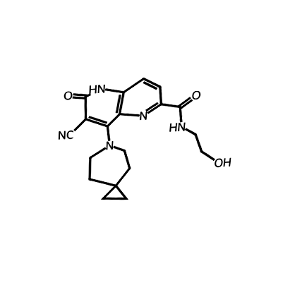 N#Cc1c(N2CCC3(CC2)CC3)c2nc(C(=O)NCCO)ccc2[nH]c1=O